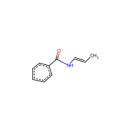 CC=CNC(=O)c1ccccc1